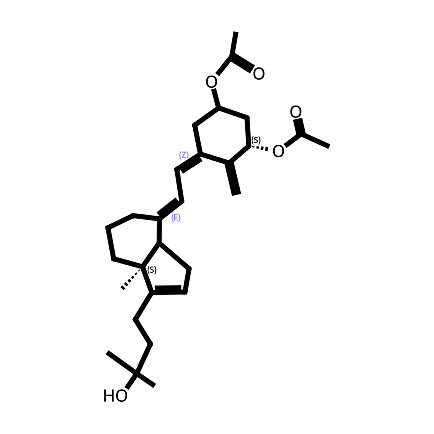 C=C1/C(=C\C=C2/CCC[C@]3(C)C(CCC(C)(C)O)=CCC23)CC(OC(C)=O)C[C@@H]1OC(C)=O